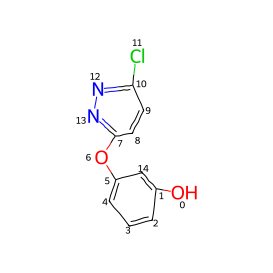 Oc1cccc(Oc2ccc(Cl)nn2)c1